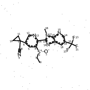 CC[S@@+]([O-])c1cc(C2(C#N)CC2)cnc1-c1nc2cc(C(F)(F)F)cnc2n1C